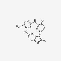 Cc1cnc(Nc2ccccc2Cl)nc1Nc1ccc2oc(=O)[nH]c2c1